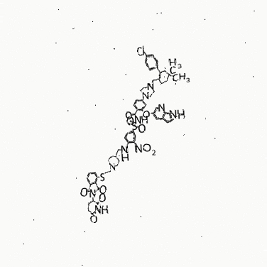 CC1(C)CCC(CN2CCN(c3ccc(C(=O)NS(=O)(=O)c4ccc(NCC5CCN(CCSc6cccc7c6C(=O)N(C6CCC(=O)NC6=O)C7=O)CC5)c([N+](=O)[O-])c4)c(Oc4cnc5[nH]ccc5c4)c3)CC2)=C(c2ccc(Cl)cc2)C1